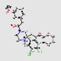 CC(C)Oc1cccc(CC(=O)N2CCN(C)C(CCOC3CCCCO3)(c3ccc(Cl)c(Cl)c3)C2)c1